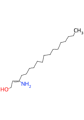 CCCCCCCCCCCCCCCC(N)=CCO